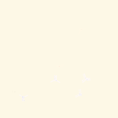 CNC1CCC(Nc2ccnc3[nH]cc(C(=O)c4ccc(Oc5ccccc5)cc4Cl)c23)CC1